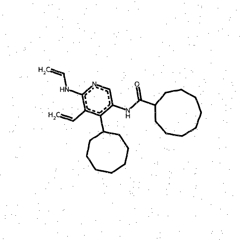 C=CNc1ncc(NC(=O)C2CCCCCCCC2)c(C2CCCCCCC2)c1C=C